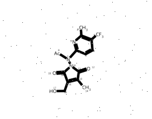 CC(=O)N(c1ccc(C(F)(F)F)c(C)n1)N1C(=O)C(C)=C(CO)C1=O